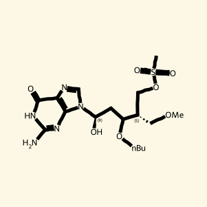 CCCCOC(C[C@@H](O)n1cnc2c(=O)[nH]c(N)nc21)[C@@H](COC)COS(C)(=O)=O